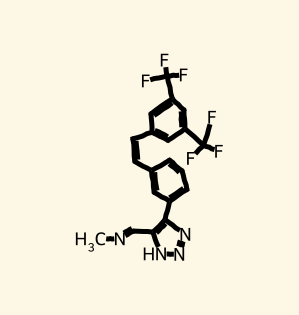 C/N=C/c1[nH]nnc1-c1cccc(/C=C\c2cc(C(F)(F)F)cc(C(F)(F)F)c2)c1